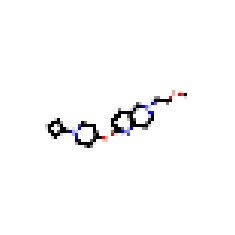 COCCN1CCc2nc(OC3CCN(C4CCC4)CC3)ccc2C1